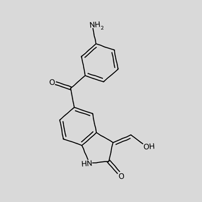 Nc1cccc(C(=O)c2ccc3c(c2)C(=CO)C(=O)N3)c1